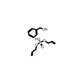 C=CCOP(=O)(O)OCC=C.OCc1ccccc1